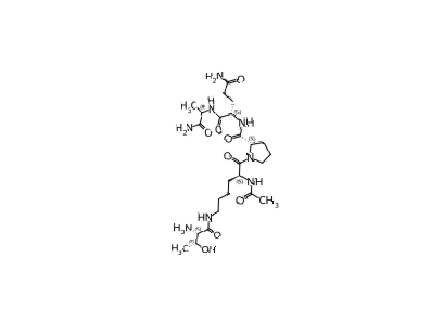 CC(=O)N[C@@H](CCCCNC(=O)[C@@H](N)[C@@H](C)O)C(=O)N1CCC[C@H]1C(=O)N[C@@H](CCC(N)=O)C(=O)N[C@H](C)C(N)=O